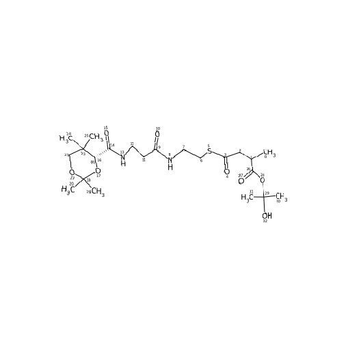 CC(CC(=O)SCCNC(=O)CCNC(=O)[C@@H]1OC(C)(C)OCC1(C)C)C(=O)OC(C)(C)O